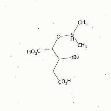 C[SiH](C)O[C@@H](C(=O)O)C(CC(=O)O)C(C)(C)C